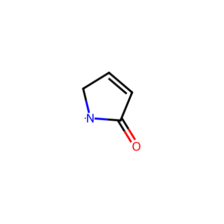 O=C1C=CC[N]1